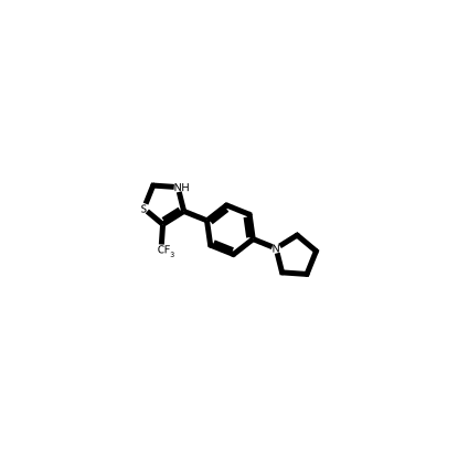 FC(F)(F)C1=C(c2ccc(N3CCCC3)cc2)NCS1